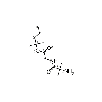 CCCC(C)(C)OC(=O)CNC(=O)C(C)(C)N